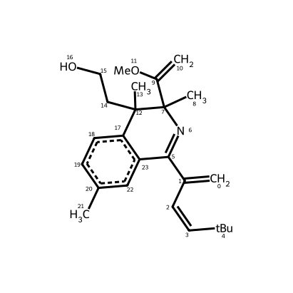 C=C(/C=C\C(C)(C)C)C1=NC(C)(C(=C)OC)C(C)(CCO)c2ccc(C)cc21